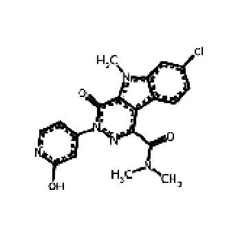 CN(C)C(=O)c1nn(-c2ccnc(O)c2)c(=O)c2c1c1ccc(Cl)cc1n2C